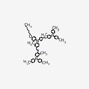 CCCCCCCOc1ccc(N(c2ccc(/C=C/c3ccc(N(c4ccc(C)cc4)c4ccc(C)cc4)cc3C)cc2)c2ccc(/C=C/c3ccc(N(c4ccc(C)cc4)c4ccc(C)cc4)cc3C)cc2)c(C)c1